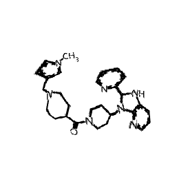 Cn1ccc(CN2CCC(C(=O)N3CCC(N4c5ncccc5NC4c4ccccn4)CC3)CC2)c1